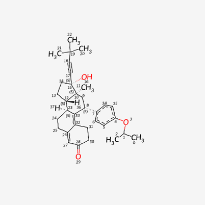 CC(C)Oc1ccc([C@H]2C[C@@]3(C)[C@@H](CC[C@@]3(O)C#CC(C)(C)C)[C@@H]3CCC4=CC(=O)CCC4=C32)cc1